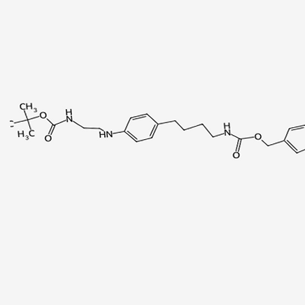 CC(C)(C)OC(=O)NCCNc1ccc(CCCCNC(=O)OCc2ccccc2)cc1